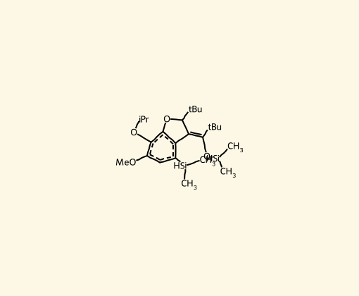 COc1cc([SiH](C)C)c2c(c1OC(C)C)OC(C(C)(C)C)C2=C(O[SiH](C)C)C(C)(C)C